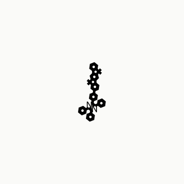 CC1(C)c2ccccc2-c2cc3c(cc21)-c1ccc(-c2ccc(-c4nc(-c5ccccc5)c(-c5ccccc5)nc4-c4ccccc4)cc2)cc1C3(C)C